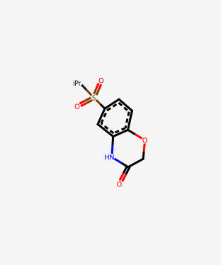 CC(C)S(=O)(=O)c1ccc2c(c1)NC(=O)CO2